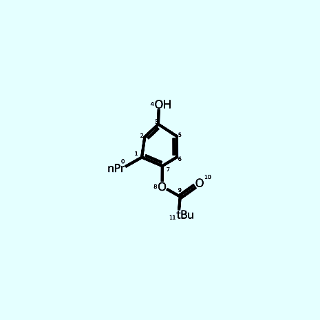 CCCc1cc(O)ccc1OC(=O)C(C)(C)C